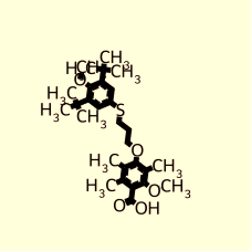 COc1c(C(C)(C)C)cc(SCCCOc2c(C)c(C)c(C(=O)O)c(OC)c2C)cc1C(C)(C)C